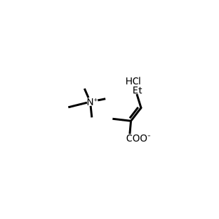 CCC=C(C)C(=O)[O-].C[N+](C)(C)C.Cl